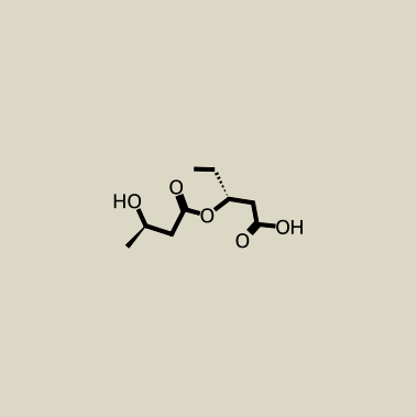 CC[C@H](CC(=O)O)OC(=O)C[C@@H](C)O